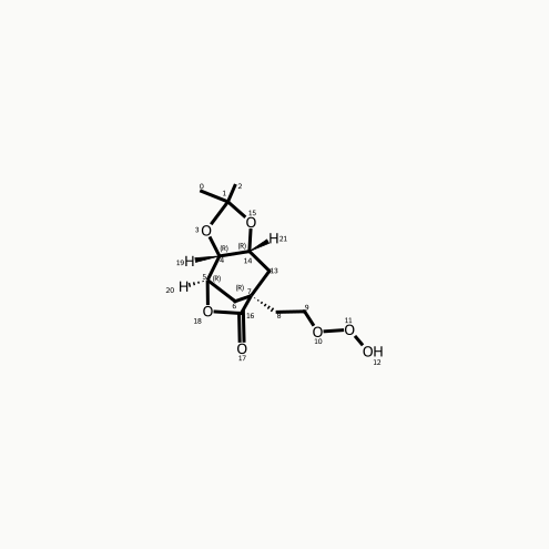 CC1(C)O[C@H]2[C@H]3C[C@@](CCOOO)(C[C@H]2O1)C(=O)O3